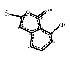 CCc1cc2cccc(Cl)c2c(=O)o1